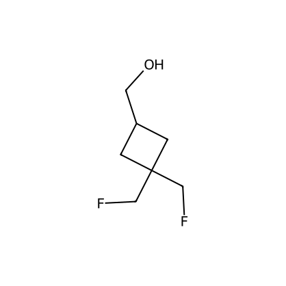 OCC1CC(CF)(CF)C1